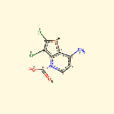 Nc1ccnc2c(Cl)c(Cl)sc12.O=CO